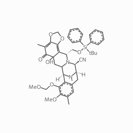 COCOc1c(OC)c(C)cc2c1[C@H]1C3CC4(O)C(=O)C(C)=C5OCOC5=C4[C@H](CO[Si](c4ccccc4)(c4ccccc4)C(C)(C)C)N3[C@@H](C#N)[C@@H](C2)N1C